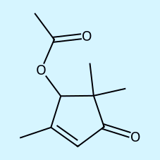 CC(=O)OC1C(C)=CC(=O)C1(C)C